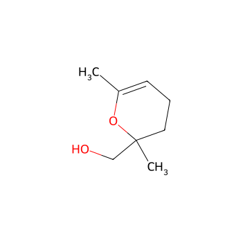 CC1=CCCC(C)(CO)O1